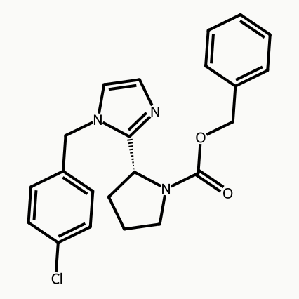 O=C(OCc1ccccc1)N1CCC[C@@H]1c1nccn1Cc1ccc(Cl)cc1